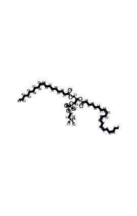 CC/C=C\C/C=C\C/C=C\C/C=C\CCCCCCC(=O)O[C@H](COC(=O)CCCCCCC/C=C\CCCCCCCC)COP(=O)([O-])OCC[N+](C)(C)C